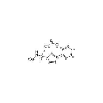 CC(C)(C)N[Si](C)(C)C1C=CC(c2ccccc2)=C1.[Cl][Ti][Cl]